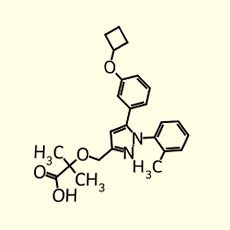 Cc1ccccc1-n1nc(COC(C)(C)C(=O)O)cc1-c1cccc(OC2CCC2)c1